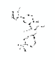 CCc1nc2ccc(-c3cnnn3C)cc2c(Cl)c1Cc1ccc(C(F)(F)F)cc1